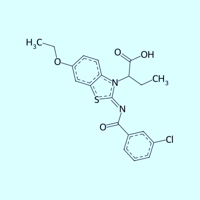 CCOc1ccc2c(c1)sc(=NC(=O)c1cccc(Cl)c1)n2C(CC)C(=O)O